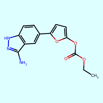 CCOC(=O)Oc1ccc(-c2ccc3[nH]nc(N)c3c2)o1